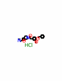 COc1cc(CC(=O)N2CCc3cc(CN(C)C)oc3C2)ccc1OCc1ccccc1.Cl